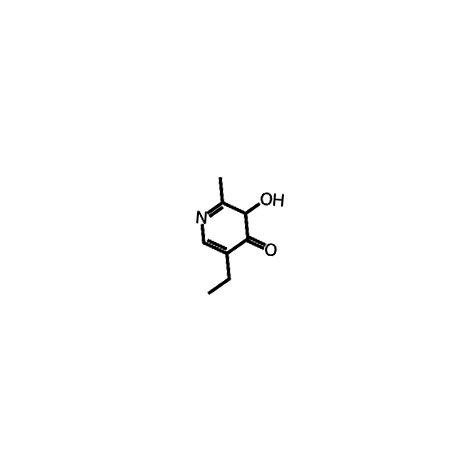 CCC1=CN=C(C)C(O)C1=O